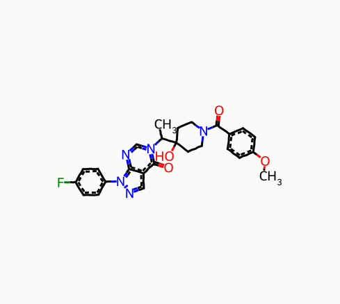 COc1ccc(C(=O)N2CCC(O)(C(C)n3cnc4c(cnn4-c4ccc(F)cc4)c3=O)CC2)cc1